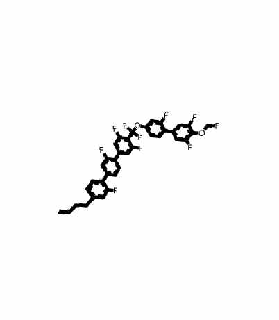 C=CCCc1ccc(-c2ccc(-c3cc(F)c(C(F)(F)Oc4ccc(-c5cc(F)c(OCF)c(F)c5)c(F)c4)c(F)c3)c(F)c2)c(F)c1